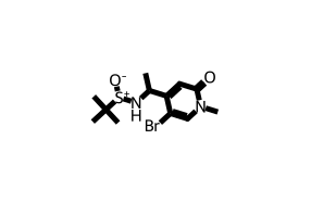 CC(N[S+]([O-])C(C)(C)C)c1cc(=O)n(C)cc1Br